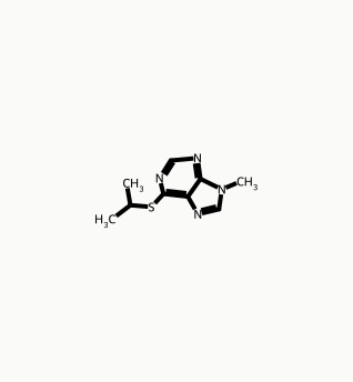 CC(C)Sc1ncnc2c1ncn2C